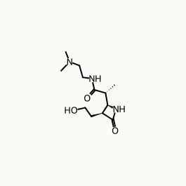 C[C@@H](C(=O)NCCN(C)C)[C@H]1NC(=O)[C@H]1CCO